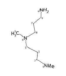 CNCCCN(C)CCCN